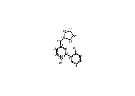 Cc1ccccc1-c1cc(CC2CCCC2)cc[n+]1C